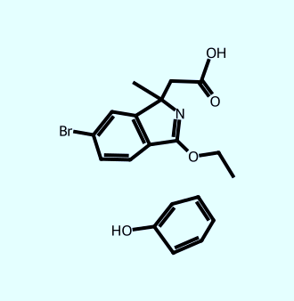 CCOC1=NC(C)(CC(=O)O)c2cc(Br)ccc21.Oc1ccccc1